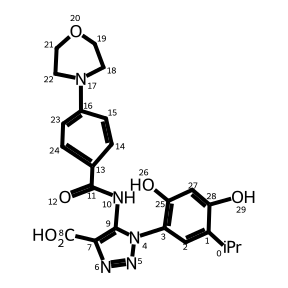 CC(C)c1cc(-n2nnc(C(=O)O)c2NC(=O)c2ccc(N3CCOCC3)cc2)c(O)cc1O